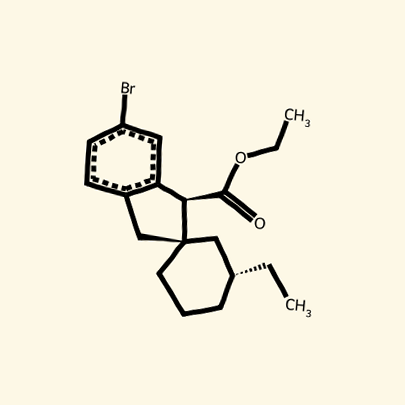 CCOC(=O)[C@@H]1c2cc(Br)ccc2C[C@@]12CCC[C@@H](CC)C2